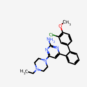 CCN1CCN(c2cc(-c3ccccc3-c3ccc(OC)c(Cl)c3)nc(N)n2)CC1